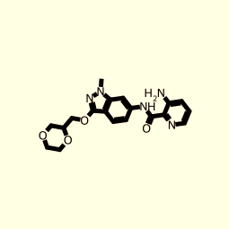 Cn1nc(OCC2COCCO2)c2ccc(NC(=O)c3ncccc3N)cc21